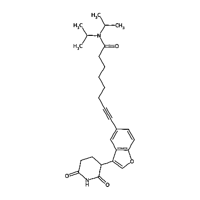 CC(C)N(C(=O)CCCCCC#Cc1ccc2occ(C3CCC(=O)NC3=O)c2c1)C(C)C